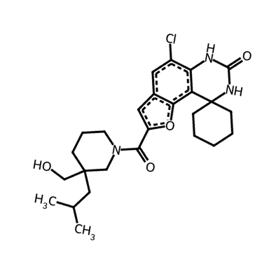 CC(C)CC1(CO)CCCN(C(=O)c2cc3cc(Cl)c4c(c3o2)C2(CCCCC2)NC(=O)N4)C1